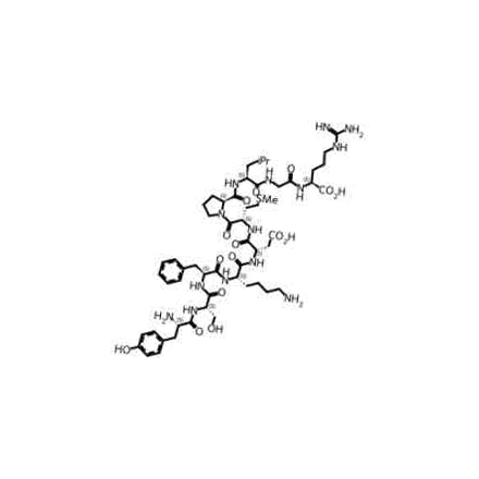 CSCC[C@H](NC(=O)[C@H](CC(=O)O)NC(=O)[C@H](CCCCN)NC(=O)[C@H](Cc1ccccc1)NC(=O)[C@H](CO)NC(=O)[C@@H](N)Cc1ccc(O)cc1)C(=O)N1CCC[C@H]1C(=O)N[C@@H](CC(C)C)C(=O)NCC(=O)N[C@@H](CCCNC(=N)N)C(=O)O